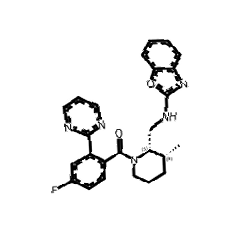 C[C@@H]1CCCN(C(=O)c2ccc(F)cc2-c2ncccn2)[C@@H]1CNc1nc2ccccc2o1